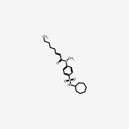 CCCCCC=CC(=O)N(C)c1ccc(S(=O)(=O)NC2CCCCCC2)cc1